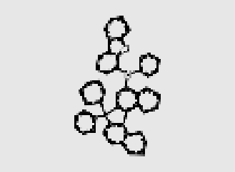 c1ccc(N(c2cc3c(c4ccccc24)-c2c(ccc4ccccc24)C3(c2ccccc2)c2ccccc2)c2cccc3c2oc2ccccc23)cc1